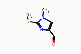 CSc1nc(C=O)cn1C